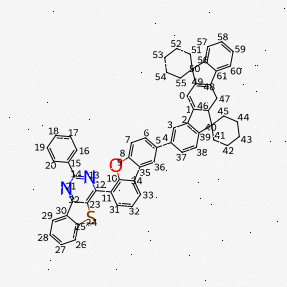 C1=C2c3cc(-c4ccc5oc6c(-c7nc(-c8ccccc8)nc8c7sc7ccccc78)cccc6c5c4)ccc3C3(CCCCC3)C2CC2=C1C1(CCCCC1)c1ccccc12